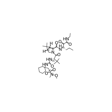 CCC[C@H](NC(=O)[C@@H]1[C@@H]2[C@H](CN1C(=O)[C@@H](NC(=O)NC1(CS(=O)(=O)N(C)OC)CCCCC1)C(C)(C)C)C2(C)C)C(=O)C(=O)NCC